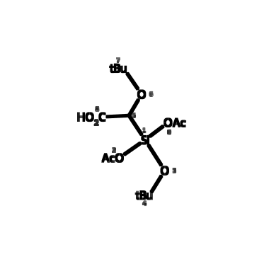 CC(=O)O[Si](OC(C)=O)(OC(C)(C)C)C(OC(C)(C)C)C(=O)O